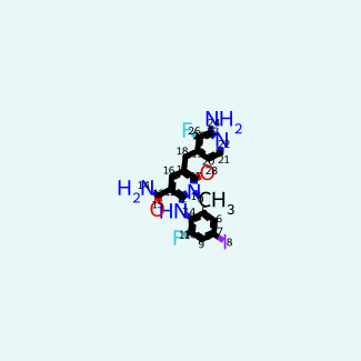 Cn1c(Nc2ccc(I)cc2F)c(C(N)=O)cc(Cc2ccnc(N)c2F)c1=O